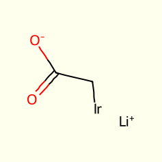 O=C([O-])[CH2][Ir].[Li+]